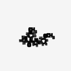 COc1cccc(-n2ccc(N(C(=O)c3cccs3)C3CCN(C)CC3)n2)c1